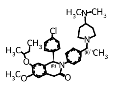 CCC(C)Oc1cc2c(cc1OC)CC(=O)N(c1ccc([C@@H](C)N3CCC(N(C)C)CC3)cc1)[C@@H]2c1ccc(Cl)cc1